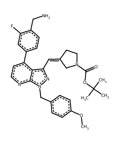 COc1ccc(Cn2nc(/C=C3/CCN(C(=O)OC(C)(C)C)C3)c3c(-c4ccc(CN)c(F)c4)ccnc32)cc1